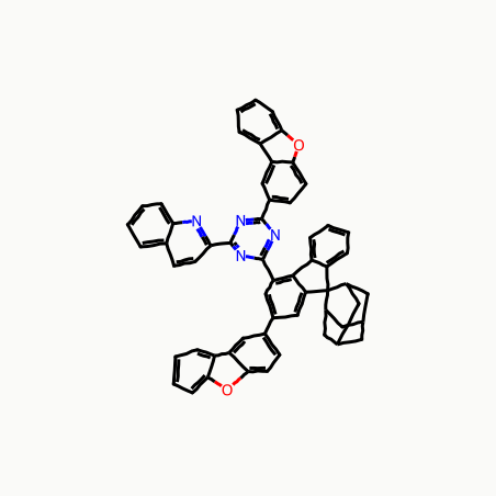 c1ccc2c(c1)-c1c(-c3nc(-c4ccc5oc6ccccc6c5c4)nc(-c4ccc5ccccc5n4)n3)cc(-c3ccc4oc5ccccc5c4c3)cc1C21C2CC3CC(C2)CC1C3